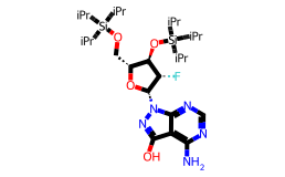 CC(C)[Si](OC[C@H]1O[C@@H](n2nc(O)c3c(N)ncnc32)[C@@H](F)[C@@H]1O[Si](C(C)C)(C(C)C)C(C)C)(C(C)C)C(C)C